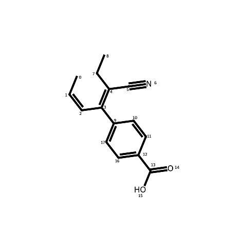 C/C=C\C(=C(\C#N)CC)c1ccc(C(=O)O)cc1